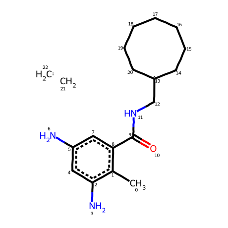 Cc1c(N)cc(N)cc1C(=O)NC[C]1CCCCCCC1.[CH2].[CH2]